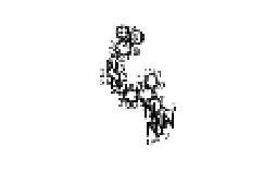 Cc1cc2ncc3cc(-c4ccccc4)c(-c4ccc(CN5CCN(Cc6ccc7c(c6)OCO7)CC5)cc4)nc3n2n1